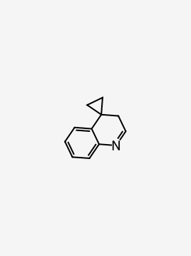 C1=Nc2ccccc2C2(C1)CC2